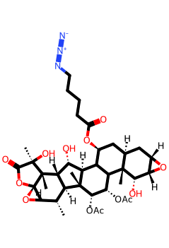 CC(=O)O[C@H]1C2C([C@@H](OC(=O)CCCCN=[N+]=[N-])C[C@H]3C[C@@H]4O[C@@H]4[C@H](O)[C@]23C)[C@@H]2[C@@H](O)[C@@H]3[C@H]([C@H](C)[C@H]4O[C@]45OC(=O)[C@@](C)(O)[C@]35C)[C@@]2(C)[C@H]1OC(C)=O